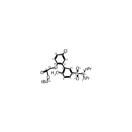 CCCN(CCC)S(=O)(=O)c1ccc(C)c(-c2cc(Cl)ccc2OCC(=O)OC(C)(C)C)c1